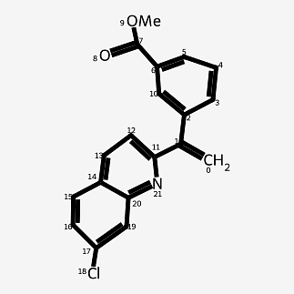 C=C(c1cccc(C(=O)OC)c1)c1ccc2ccc(Cl)cc2n1